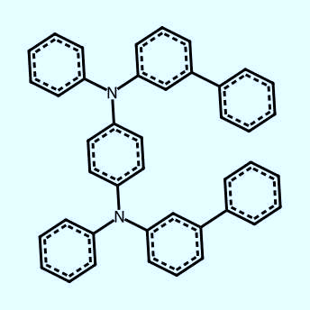 c1ccc(-c2cccc(N(c3ccccc3)c3ccc(N(c4ccccc4)c4cccc(-c5ccccc5)c4)cc3)c2)cc1